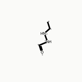 CCNNC=O